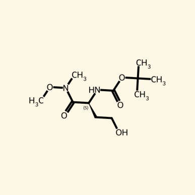 CON(C)C(=O)[C@H](CCO)NC(=O)OC(C)(C)C